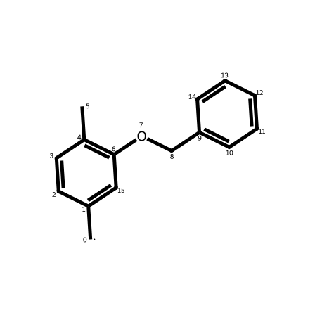 [CH2]c1ccc(C)c(OCc2ccccc2)c1